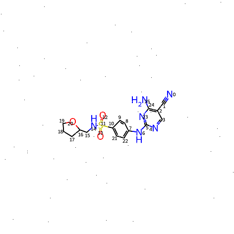 N#Cc1cnc(Nc2ccc(S(=O)(=O)NCC3CCCO3)cc2)nc1N